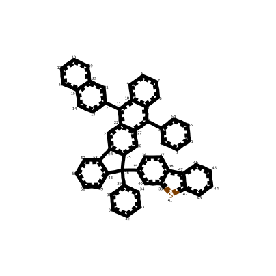 c1ccc(-c2c3ccccc3c(-c3ccc4ccccc4c3)c3cc4c(cc23)C(c2ccccc2)(c2ccc3c(c2)sc2ccccc23)c2ccccc2-4)cc1